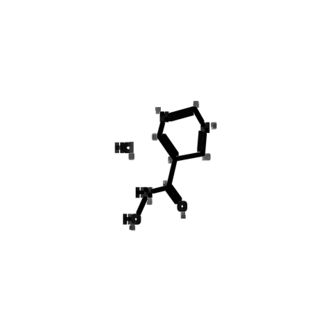 Cl.O=C(NO)c1cncnc1